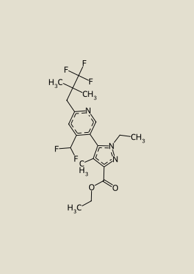 CCOC(=O)c1nn(CC)c(-c2cnc(CC(C)(C)C(F)(F)F)cc2C(F)F)c1C